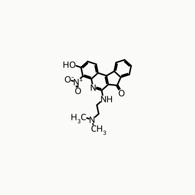 CN(C)CCNc1nc2c([N+](=O)[O-])c(O)ccc2c2c1C(=O)c1ccccc1-2